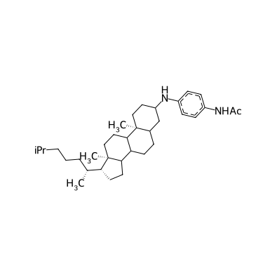 CC(=O)Nc1ccc(NC2CC[C@@]3(C)C(CCC4C3CC[C@@]3(C)C4CC[C@@H]3[C@H](C)CCCC(C)C)C2)cc1